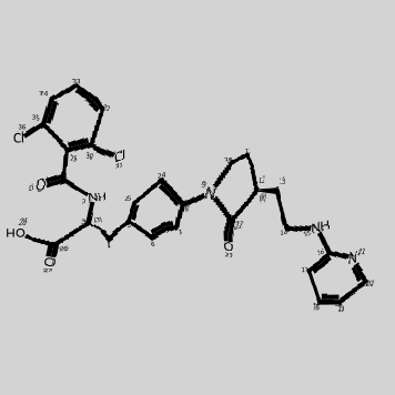 O=C(N[C@@H](Cc1ccc(N2CC[C@@H](CCNc3ccccn3)C2=O)cc1)C(=O)O)c1c(Cl)cccc1Cl